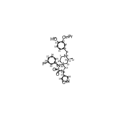 CC(C)Oc1cc(CN2CC[C@@]3(C[C@@H]2C)CN(c2cnoc2)S(=O)(=O)N3c2cccc(F)c2)ccc1O